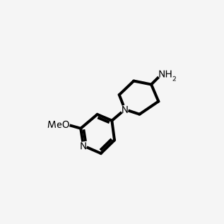 COc1cc(N2CCC(N)CC2)ccn1